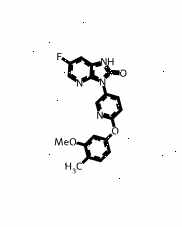 COc1cc(Oc2ccc(-n3c(=O)[nH]c4cc(F)cnc43)cn2)ccc1C